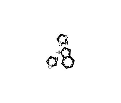 c1ccc2[nH]ccc2c1.c1cocn1.c1conn1